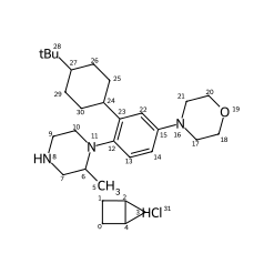 C1CC2CC12.CC1CNCCN1c1ccc(N2CCOCC2)cc1C1CCC(C(C)(C)C)CC1.Cl